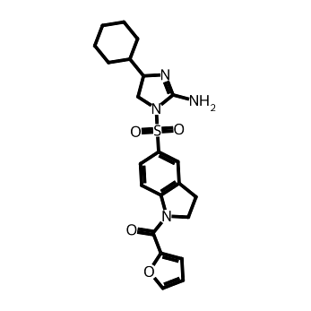 NC1=NC(C2CCCCC2)CN1S(=O)(=O)c1ccc2c(c1)CCN2C(=O)c1ccco1